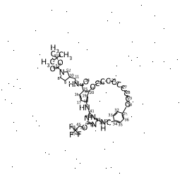 CC(C)(C)OC(=O)N1CCC(CNC(=O)c2ccc3cc2OCCCCCCCCOc2ccc(cc2)CNc2nc(nc(OCC(F)(F)F)n2)N3)C1